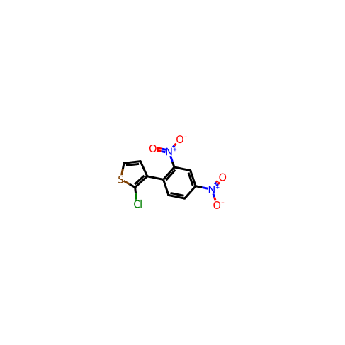 O=[N+]([O-])c1ccc(-c2ccsc2Cl)c([N+](=O)[O-])c1